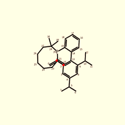 C=Cc1cc(C(C)C)cc(C(C)C)c1-c1ccccc1P1C(=C)CCCCCC1(C)C